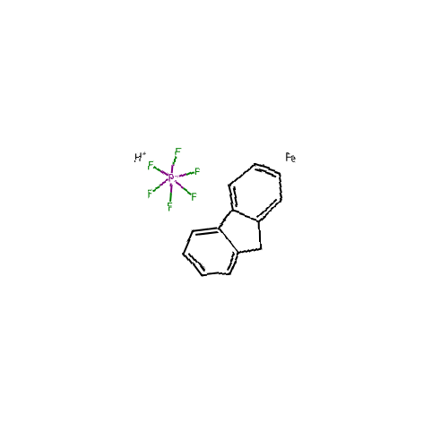 F[P-](F)(F)(F)(F)F.[Fe].[H+].c1ccc2c(c1)Cc1ccccc1-2